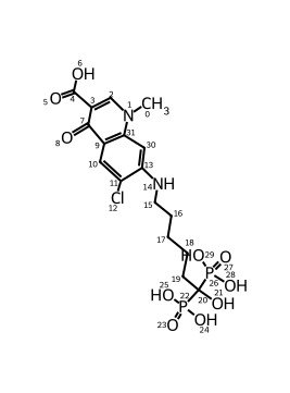 Cn1cc(C(=O)O)c(=O)c2cc(Cl)c(NCCCCCC(O)(P(=O)(O)O)P(=O)(O)O)cc21